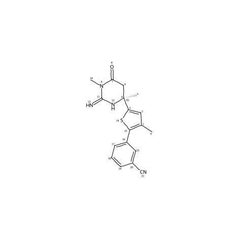 Cc1cc([C@]2(C)CC(=O)N(C)C(=N)N2)sc1-c1cccc(C#N)c1